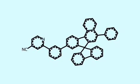 N#Cc1ccnc(-c2cccc(-c3ccc4c(c3)C3(c5ccccc5-c5ccccc53)c3cc(-c5ccccc5)c5ccccc5c3-4)c2)c1